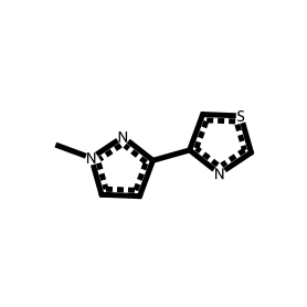 Cn1ccc(-c2cscn2)n1